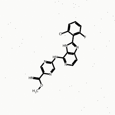 COC(=N)c1cnc(Nc2nccc3nc(-c4c(F)cccc4Cl)[nH]c23)cn1